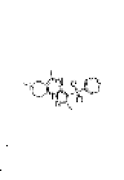 Cc1nc2c(S(=O)(=O)c3ccccc3)c(C)nn2c2c1CN(C)CC2